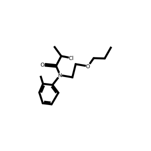 CCCOCCN(C(=O)C(C)Cl)c1ccccc1C